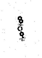 O=C(NO)c1ccc(N2CCCN(S(=O)(=O)c3ccc4ccccc4c3)CC2)cc1